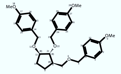 COc1ccc(COC[C@H]2CC[C@@H](OCc3ccc(OC)cc3)[C@@H]2OCc2ccc(OC)cc2)cc1